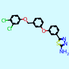 Nc1nnc(-c2cccc(Oc3cccc(COc4ccc(Cl)c(Cl)c4)c3)c2)s1